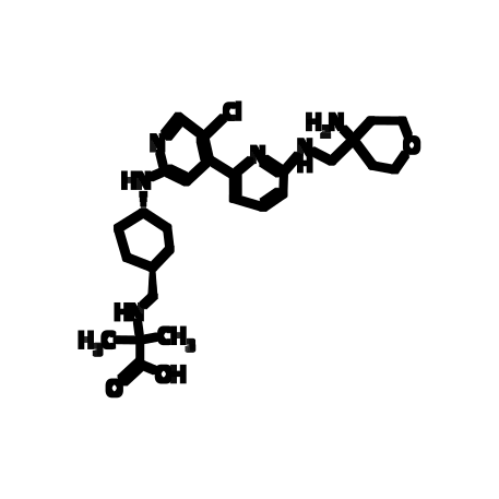 CC(C)(NC[C@H]1CC[C@H](Nc2cc(-c3cccc(NCC4(N)CCOCC4)n3)c(Cl)cn2)CC1)C(=O)O